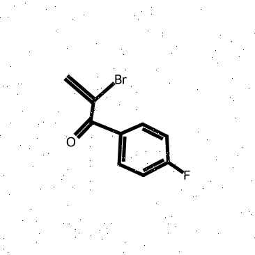 C=C(Br)C(=O)c1ccc(F)cc1